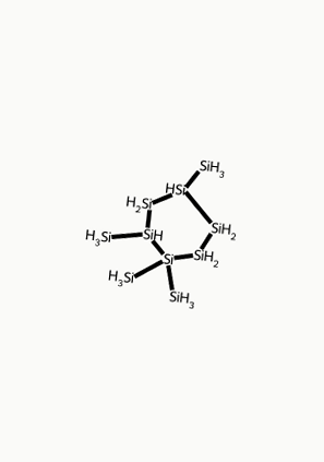 [SiH3][SiH]1[SiH2][SiH2][Si]([SiH3])([SiH3])[SiH]([SiH3])[SiH2]1